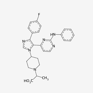 CC(C(=O)O)N1CCC(n2cnc(-c3ccc(F)cc3)c2-c2ccnc(Nc3ccccc3)n2)CC1